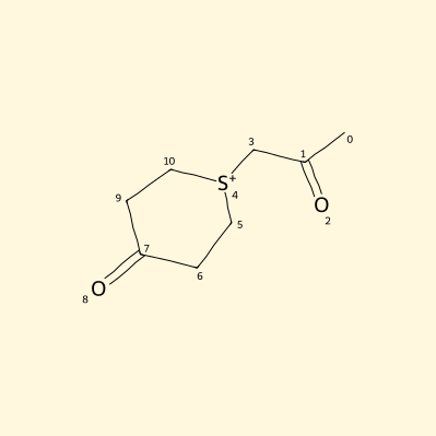 CC(=O)C[S+]1CCC(=O)CC1